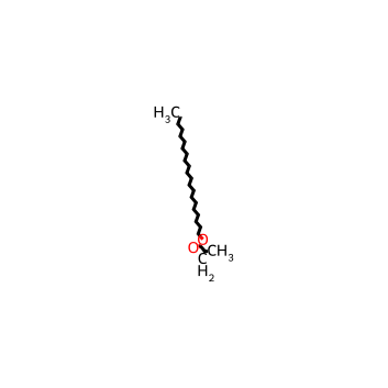 C=C(C)C(=O)OCCCCCCCCCCCCCCCCCCCCC